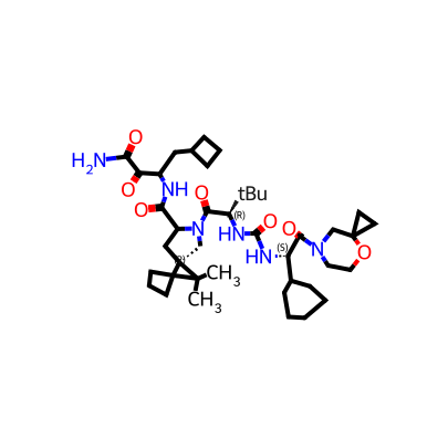 CC(C)(C)[C@@H](NC(=O)N[C@H](C(=O)N1CCOC2(CC2)C1)C1CCCCC1)C(=O)N1C[C@]2(CC1C(=O)NC(CC1CCC1)C(=O)C(N)=O)C(C)(C)C21CCC1